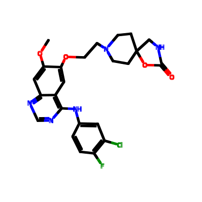 COc1cc2ncnc(Nc3ccc(F)c(Cl)c3)c2cc1OCCN1CCC2(CC1)CNC(=O)O2